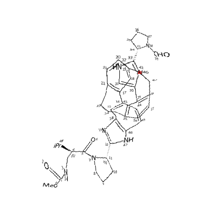 COC(=O)N[C@H](C(=O)N1CCC[C@H]1c1nc2cc(-c3cc4ccc3CCc3ccc(c(-c5c[nH]c([C@@H]6CCCN6C=O)n5)c3)CC4)ccc2[nH]1)C(C)C